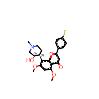 COc1cc(OC)c2c(=O)cc(-c3ccc(F)cc3)oc2c1[C@@H]1CCN(C)C[C@H]1O